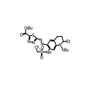 CCCCN1c2cc(NS(=O)(=O)CC(F)(F)F)c(N=Nc3nnc(C(=O)OCC(C)C)s3)cc2CCC1CC